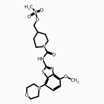 COc1ccc(N2CCOCC2)c2sc(NC(=O)N3CCC(COS(C)(=O)=O)CC3)nc12